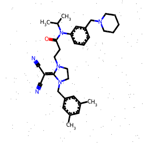 Cc1cc(C)cc(CN2CCN(CCC(=O)N(c3cccc(CN4CCCCC4)c3)C(C)C)C2=C(C#N)C#N)c1